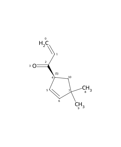 C=CC(=O)[C@@H]1C=CC(C)(C)C1